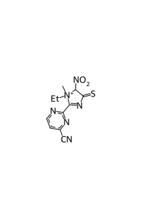 CC[N+]1(C)C(c2nccc(C#N)n2)=NC(=S)C1[N+](=O)[O-]